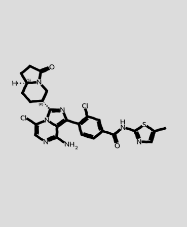 Cc1cnc(NC(=O)c2ccc(-c3nc([C@@H]4CC[C@H]5CCC(=O)N5C4)n4c(Cl)cnc(N)c34)c(Cl)c2)s1